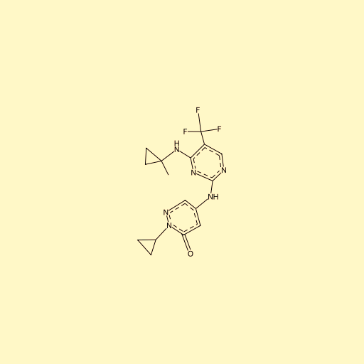 CC1(Nc2nc(Nc3cnn(C4CC4)c(=O)c3)ncc2C(F)(F)F)CC1